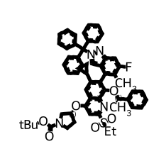 CCS(=O)(=O)c1cc(O[C@H]2CCN(C(=O)OC(C)(C)C)C2)c2cc(C3CC3)c(-c3c(C)c(F)cc4nn(C(c5ccccc5)(c5ccccc5)c5ccccc5)cc34)c(O[C@@H](C)c3ccccc3)c2n1